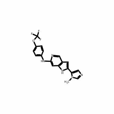 Cn1cncc1-c1cc2cnc(Nc3ccc(OC(F)(F)F)cc3)cc2[nH]1